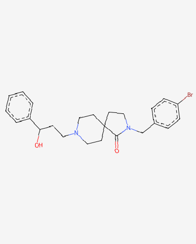 O=C1N(Cc2ccc(Br)cc2)CCC12CCN(CCC(O)c1ccccc1)CC2